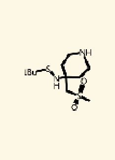 CC(C)(C)SNC1(CS(C)(=O)=O)CCNCC1